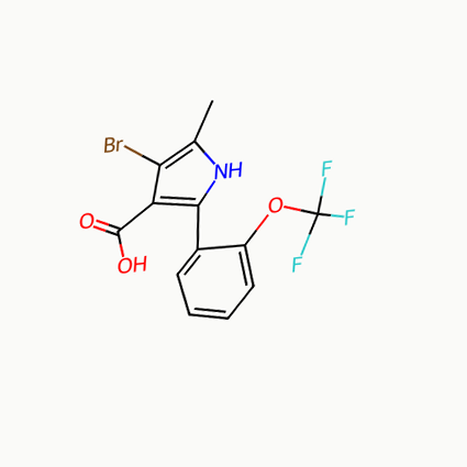 Cc1[nH]c(-c2ccccc2OC(F)(F)F)c(C(=O)O)c1Br